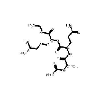 CCCCCCC(=O)N[C@@H](C)C(=O)N[C@H](CCC(N)=O)C(=O)O[C@H](CSC[C@H](N)C(=O)O)C(=O)NCC(=O)O